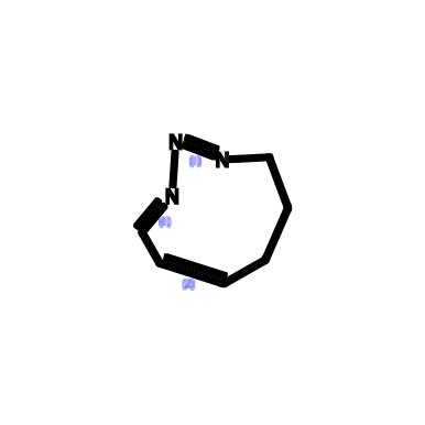 C1=C\CCC/N=N/N=C/1